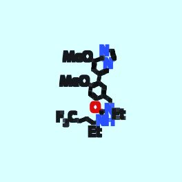 CC[C@H](CCC(F)(F)F)NC(=O)N(CC)Cc1ccc(OC)c(-c2cc(OC)c3nccn3c2)c1